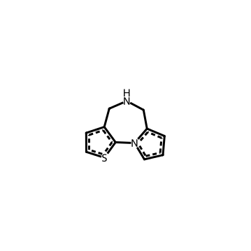 c1cc2n(c1)-c1sccc1CNC2